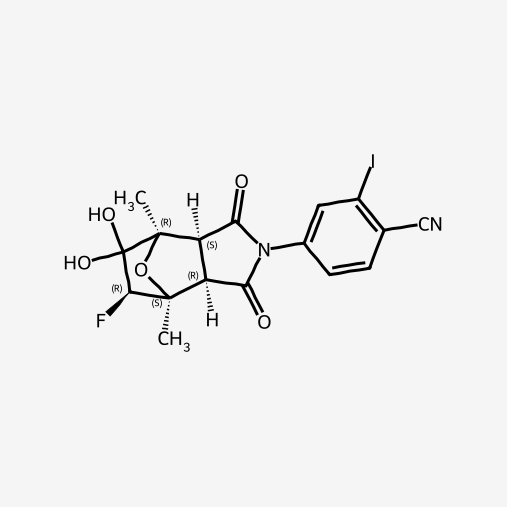 C[C@]12O[C@](C)([C@H]3C(=O)N(c4ccc(C#N)c(I)c4)C(=O)[C@H]31)C(O)(O)[C@@H]2F